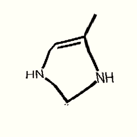 CC1=CN[C]N1